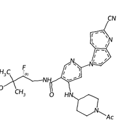 CC(=O)N1CCC(Nc2cc(-n3ccc4nc(C#N)ccc43)ncc2C(=O)NC[C@@H](F)C(C)(C)O)CC1